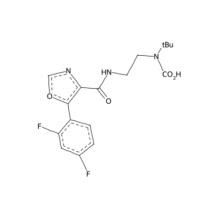 CC(C)(C)N(CCNC(=O)c1ncoc1-c1ccc(F)cc1F)C(=O)O